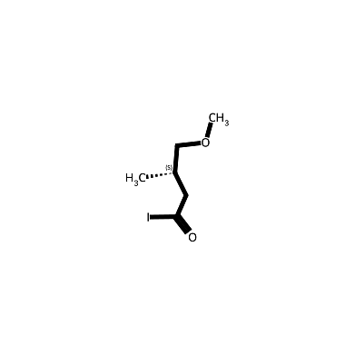 COC[C@@H](C)CC(=O)I